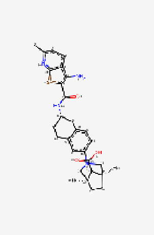 Cc1ccc2c(N)c(C(=O)N[C@H]3CCc4cc(N5C[C@H]6CC[C@@H](C5)C6C(=O)O)ccc4C3)sc2n1